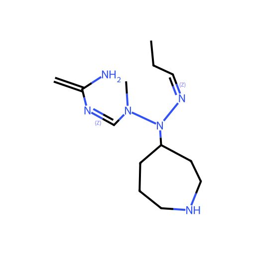 C=C(N)/N=C\N(C)N(/N=C\CC)C1CCCNCC1